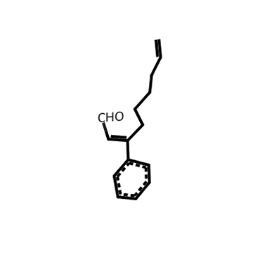 C=CCCCCC(=CC=O)c1ccccc1